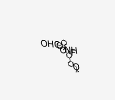 O=COc1ccccc1C(=O)Nc1ccc(-c2cccc(OC3CC3)c2)cc1F